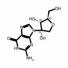 Nc1nc2c(ncn2[C@]2(O)CO[C@H](CO)[C@H]2O)c(=O)[nH]1